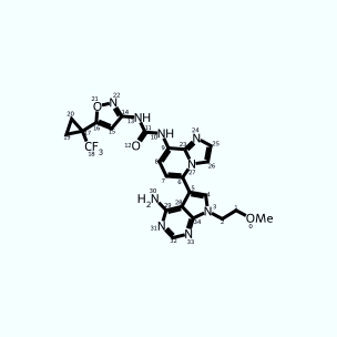 COCCn1cc(-c2ccc(NC(=O)Nc3cc(C4(C(F)(F)F)CC4)on3)c3nccn23)c2c(N)ncnc21